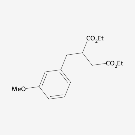 CCOC(=O)CC(Cc1cccc(OC)c1)C(=O)OCC